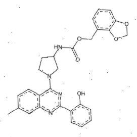 Cc1ccc2c(N3CCC(NC(=O)OCc4cccc5c4OCO5)C3)nc(-c3ccccc3O)nc2c1